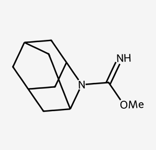 COC(=N)N1C2CC3CC(C2)CC1C3